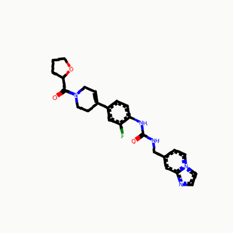 O=C(NCc1ccn2ccnc2c1)Nc1ccc(C2=CCN(C(=O)C3CCCO3)CC2)cc1F